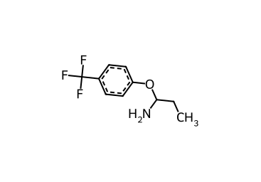 CCC(N)Oc1ccc(C(F)(F)F)cc1